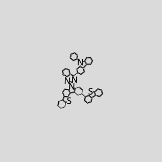 C1=Cc2c(sc3c2ccc2c3c3c(n2-c2nc(-c4ccc5c6ccccc6n(-c6ccccc6)c5c4)c4ccccc4n2)C=CC(c2cccc4c2sc2ccccc24)C3)CC1